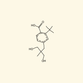 CC(CO)(CO)Cc1ccc(C(=O)O)c(C(C)(C)C)c1